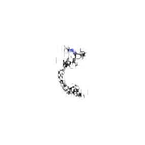 CC(C)(C(=O)Nc1ccc(C(F)(F)F)cc1N/C=C\C=N)n1cc(C2CCN(CC3CN(c4ccc5c(c4)C(=O)N(C4CCC(=O)NC4=O)C5=O)C3)CC2)cn1